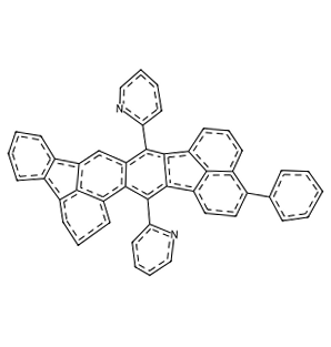 c1ccc(-c2ccc3c4c(-c5ccccn5)c5c(cc6c7ccccc7c7cccc5c76)c(-c5ccccn5)c4c4cccc2c43)cc1